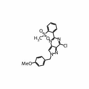 COc1ccc(Cn2cc3nc(-c4ccccc4S(C)(=O)=O)nc(Cl)c3n2)cc1